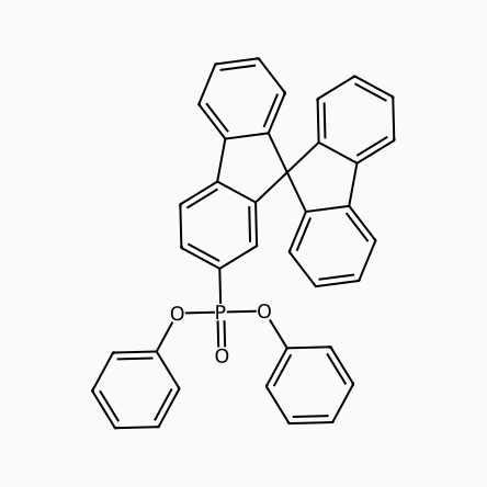 O=P(Oc1ccccc1)(Oc1ccccc1)c1ccc2c(c1)C1(c3ccccc3-c3ccccc31)c1ccccc1-2